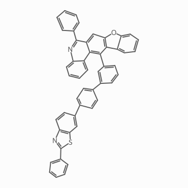 c1ccc(-c2nc3ccc(-c4ccc(-c5cccc(-c6c7c(cc8c(-c9ccccc9)nc9ccccc9c68)oc6ccccc67)c5)cc4)cc3s2)cc1